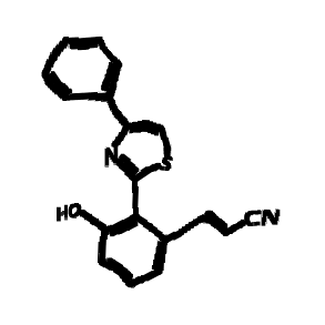 N#CC=Cc1cccc(O)c1-c1nc(-c2ccccc2)cs1